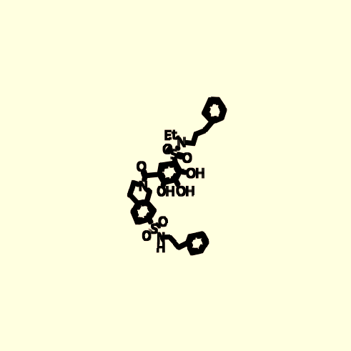 CCN(CCCc1ccccc1)S(=O)(=O)c1cc(C(=O)N2CCc3ccc(S(=O)(=O)NCCc4ccccc4)cc3C2)c(O)c(O)c1O